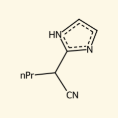 CCCC(C#N)c1ncc[nH]1